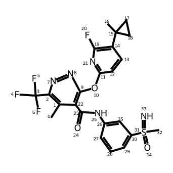 Cc1c(C(F)(F)F)nnc(Oc2ccc(C3(C)CC3)c(F)n2)c1C(=O)Nc1cccc(S(C)(=N)=O)c1